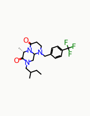 CCC(C)CN1CC2N(Cc3ccc(C(F)(F)F)cc3)CCC(=O)N2[C@@H](C)C1=O